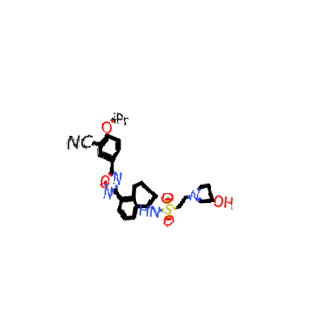 CC(C)Oc1ccc(-c2nc(-c3cccc4c3CCC[C@@H]4NS(=O)(=O)CCN3CC[C@@H](O)C3)no2)cc1C#N